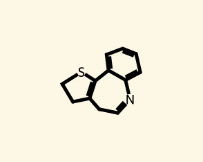 C1=Nc2ccccc2C2=C(C1)CCS2